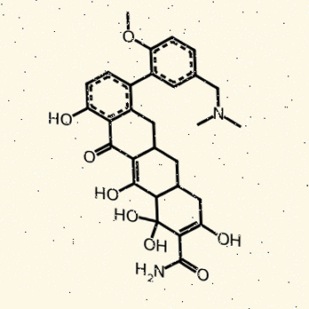 COc1ccc(CN(C)C)cc1-c1ccc(O)c2c1CC1CC3CC(O)=C(C(N)=O)C(O)(O)C3C(O)=C1C2=O